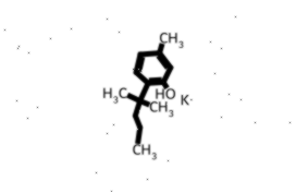 CCCC(C)(C)c1ccc(C)cc1O.[K]